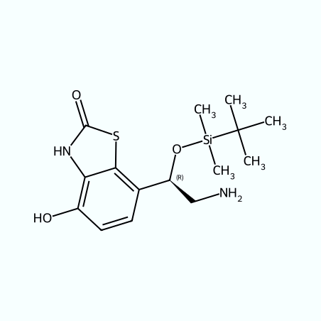 CC(C)(C)[Si](C)(C)O[C@@H](CN)c1ccc(O)c2[nH]c(=O)sc12